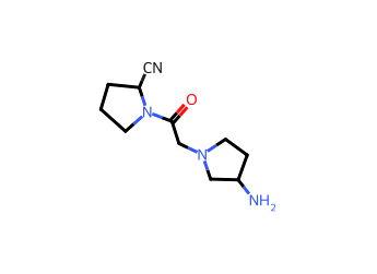 N#CC1CCCN1C(=O)CN1CCC(N)C1